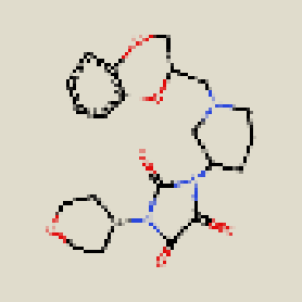 O=C1C(=O)N(C2CCCN(CC3COc4ccccc4O3)C2)C(=O)N1C1CCOCC1